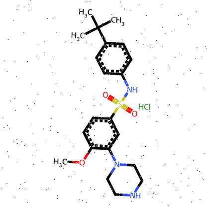 COc1ccc(S(=O)(=O)Nc2ccc(C(C)(C)C)cc2)cc1N1CCNCC1.Cl